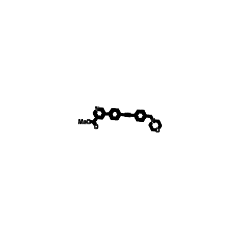 COC(=O)c1cncc(-c2ccc(C#Cc3ccc(CN4CCOCC4)cc3)cc2)c1